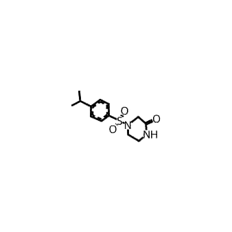 CC(C)c1ccc(S(=O)(=O)N2CCNC(=O)C2)cc1